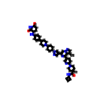 CCC1(C(=O)NC2CCC2)CCN(c2ccc(-c3nc(-c4cnn([C@H]5CC[C@H](N6CCC(c7ccc(N[C@@H]8CCC(=O)NC8=O)cc7)CC6)CC5)c4)cn4ncc(C#N)c34)cn2)CC1